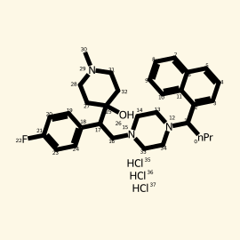 CCCC(c1cccc2ccccc12)N1CCN(CC(c2ccc(F)cc2)C2(O)CCN(C)CC2)CC1.Cl.Cl.Cl